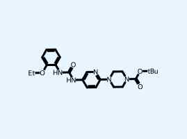 CCOc1ccccc1NC(=O)Nc1ccc(N2CCN(C(=O)OC(C)(C)C)CC2)nc1